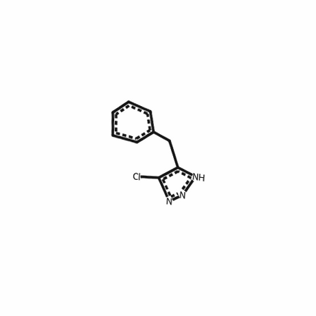 Clc1nn[nH]c1Cc1ccccc1